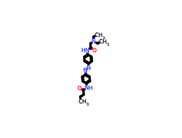 CCCC(=O)Nc1ccc(/N=N/c2ccc(NC(=O)CN(CC)CC)cc2)cc1